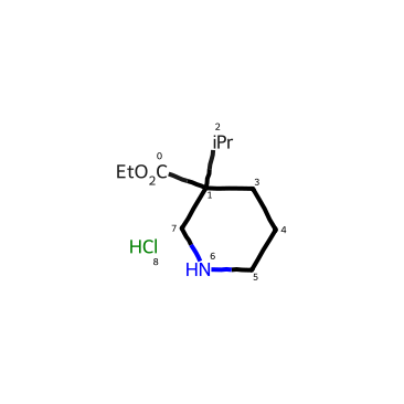 CCOC(=O)C1(C(C)C)CCCNC1.Cl